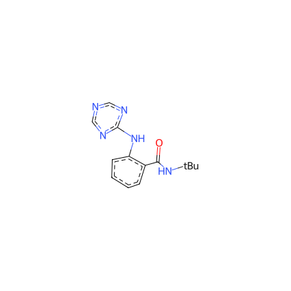 CC(C)(C)NC(=O)c1ccccc1Nc1ncncn1